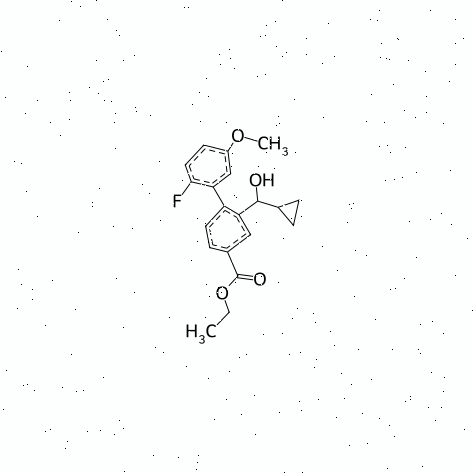 CCOC(=O)c1ccc(-c2cc(OC)ccc2F)c(C(O)C2CC2)c1